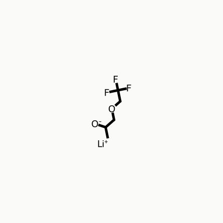 CC([O-])COCC(F)(F)F.[Li+]